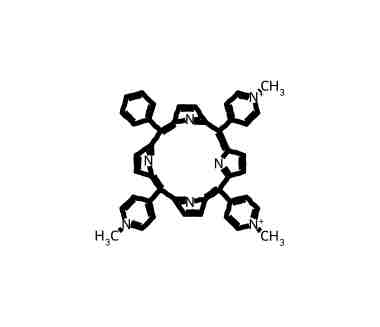 C[n+]1ccc(C2=C3C=CC(=N3)C(c3cc[n+](C)cc3)=C3C=CC(=N3)C(c3cc[n+](C)cc3)=C3C=CC(=N3)C(c3ccccc3)=C3C=CC2=N3)cc1